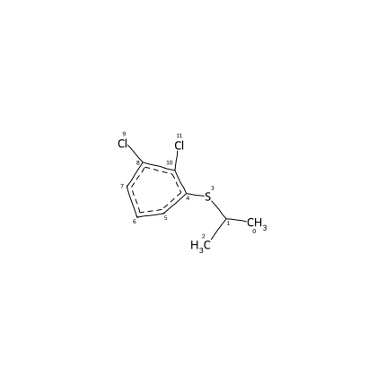 CC(C)Sc1cccc(Cl)c1Cl